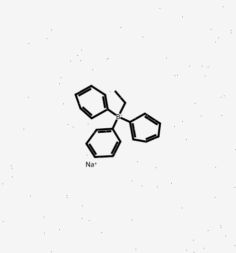 CC[B-](c1ccccc1)(c1ccccc1)c1ccccc1.[Na+]